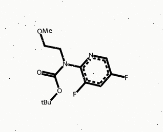 COCCN(C(=O)OC(C)(C)C)c1ncc(F)cc1F